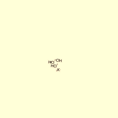 Cl.Cl.Cl.[K]